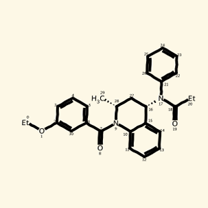 CCOc1cccc(C(=O)N2c3ccccc3[C@@H](N(C(=O)CC)c3ccccc3)C[C@H]2C)c1